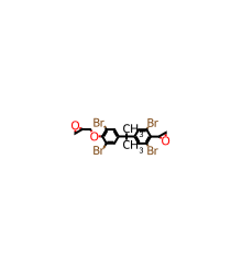 CC(C)(c1cc(Br)c(OCC2CO2)c(Br)c1)c1cc(Br)c(C2CO2)c(Br)c1